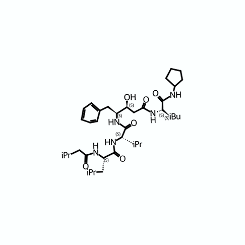 CC[C@H](C)[C@H](NC(=O)C[C@H](O)[C@H](Cc1ccccc1)NC(=O)[C@@H](NC(=O)[C@H](CC(C)C)NC(=O)CC(C)C)C(C)C)C(=O)NC1CCCC1